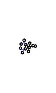 C1=CCCC(N(c2ccccc2)c2ccc3c(c2)c2cc(N(C4=CC=CCC4)c4ccccc4)ccc2c2c(-c4ccccc4)c(C4=CCC5C=CC=CC5=C4)cc(-c4ccccc4)c32)=C1